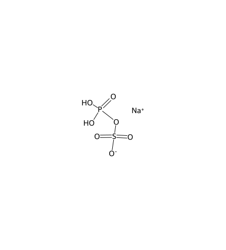 O=P(O)(O)OS(=O)(=O)[O-].[Na+]